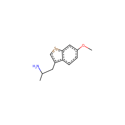 COc1ccc2c(CC(C)N)csc2c1